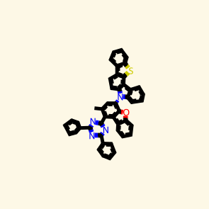 Cc1cc(-n2c3ccccc3c3c4sc5ccccc5c4ccc32)c2oc3ccccc3c2c1-c1nc(-c2ccccc2)nc(-c2ccccc2)n1